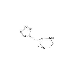 c1nocc1C1CC2CCNC1C2